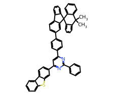 CC1(C)c2ccccc2C2(c3ccccc3-c3ccc(-c4ccc(-c5cc(-c6ccc7c(c6)sc6ccccc67)nc(-c6ccccc6)n5)cc4)cc32)c2ccccc21